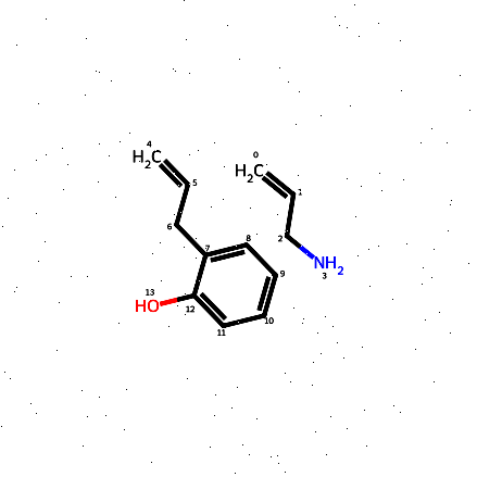 C=CCN.C=CCc1ccccc1O